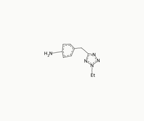 CCn1nnc(Cc2ccc(N)cc2)n1